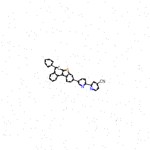 N#Cc1ccnc(-c2ccc(-c3ccc4c(c3)sc3cc(-c5ccccc5)c5ccccc5c34)cn2)c1